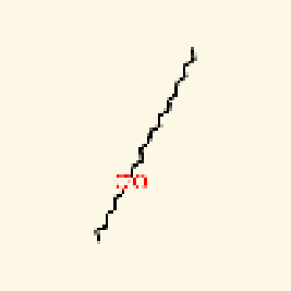 CCCCCCC=CCCCCCCCC(=O)OCCCCCCC